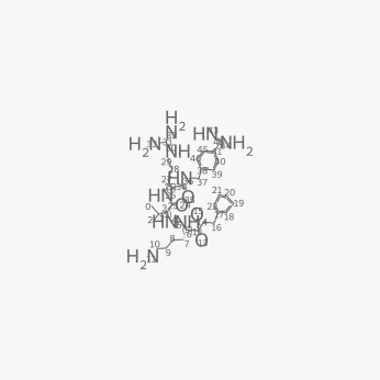 CC(C)[C@H](NN[C@@H](CCCCN)C(=O)C(=O)Cc1ccccc1)C(=O)N[C@@H](CCCNC(N)N)C(=O)NCc1ccc(C(=N)N)cc1